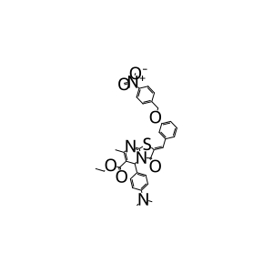 CCOC(=O)C1=C(C)N=c2s/c(=C\c3cccc(OCc4ccc([N+](=O)[O-])cc4)c3)c(=O)n2C1c1ccc(N(C)C)cc1